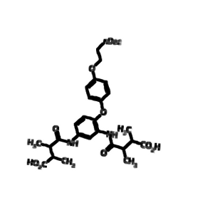 CCCCCCCCCCCCOc1ccc(Oc2ccc(NC(=O)C(C)C(C)C(=O)O)cc2NC(=O)C(C)C(C)C(=O)O)cc1